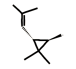 [CH2][C@@H]1[C@@H](C=C(C)C)C1(C)C